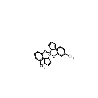 FC(F)(F)c1cccc([O][Zr]([O]c2cccc(C(F)(F)F)c2)([CH]2C=CC=C2)[CH]2C=CC=C2)c1